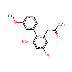 COC(=O)Cc1cc(O)cc(O)c1-c1cccc(OC(F)(F)F)c1